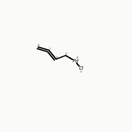 C=C=C[CH2][Pd][Cl]